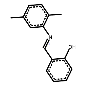 Cc1ccc(C)c(/N=C/c2ccccc2O)c1